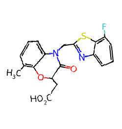 Cc1cccc2c1OC(CC(=O)O)C(=O)N2Cc1nc2cccc(F)c2s1